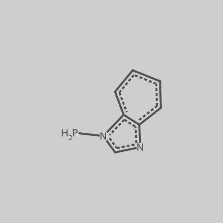 Pn1cnc2ccccc21